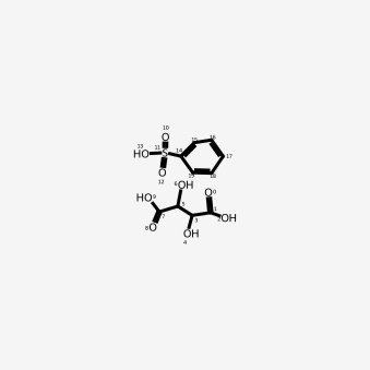 O=C(O)C(O)C(O)C(=O)O.O=S(=O)(O)c1ccccc1